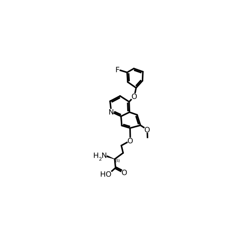 COc1cc2c(Oc3cccc(F)c3)ccnc2cc1OCC[C@H](N)C(=O)O